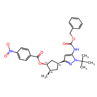 C[C@@H]1C[C@H](c2cc(NC(=O)OCc3ccccc3)n(C(C)(C)C)n2)C[C@@H]1OC(=O)c1ccc([N+](=O)[O-])cc1